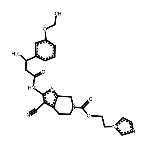 CCOc1cccc(C(C)CC(=O)Nc2sc3c(c2C#N)CCN(C(=O)OCCn2ccnc2)C3)c1